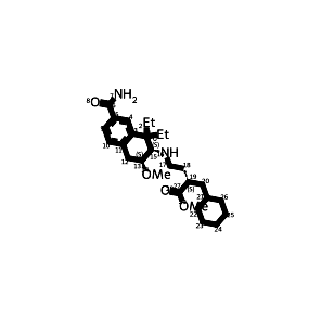 CCC1(CC)c2cc(C(N)=O)ccc2C[C@H](OC)[C@H]1NCC[C@H](CC1CCCCC1)C(=O)OC